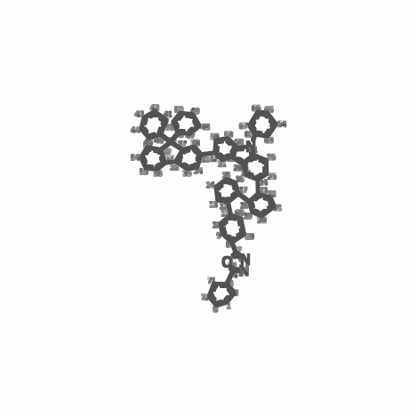 c1ccc(-c2nnc(-c3ccc(-c4ccccc4-c4ccccc4-c4ccc5c(c4)c4cc(-c6ccc7c(c6)C(c6ccccc6)(c6ccccc6)c6ccccc6-7)ccc4n5-c4ccccc4)cc3)o2)cc1